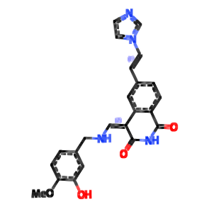 COc1ccc(CN/C=C2\C(=O)NC(=O)c3ccc(/C=C/n4ccnc4)cc32)cc1O